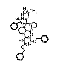 CC(C)C[C@@H](NS(=O)(=O)c1ccccc1)C(=O)N1CCC[C@H]1C(=O)C1[CH]CCCN1C(=NC(=O)OCc1ccccc1)NC(=O)OCc1ccccc1